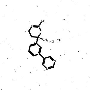 C[C@@]1(c2cccc(-c3cncnc3)c2)CCN=C(N)S1.Cl.Cl